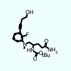 CN(CC(CCC(N)=O)NC(=O)OC(C)(C)C)c1cccc(C#CCCO)c1F